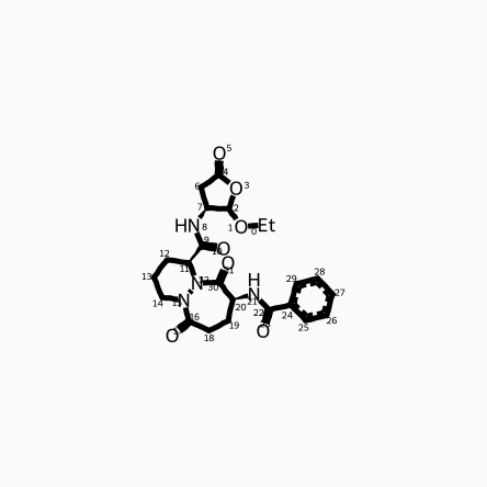 CCOC1OC(=O)C[C@@H]1NC(=O)[C@@H]1CCCN2C(=O)CC[C@H](NC(=O)c3ccccc3)C(=O)N12